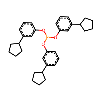 c1cc(OP(Oc2cccc(C3CCCC3)c2)Oc2cccc(C3CCCC3)c2)cc(C2CCCC2)c1